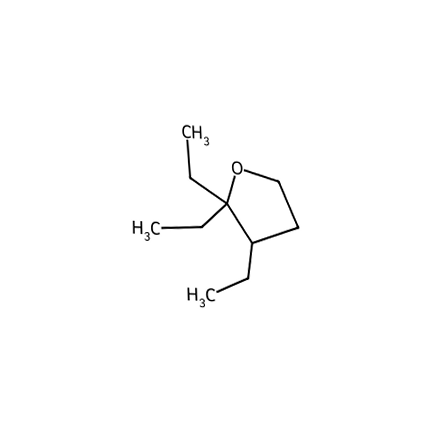 CCC1CCOC1(CC)CC